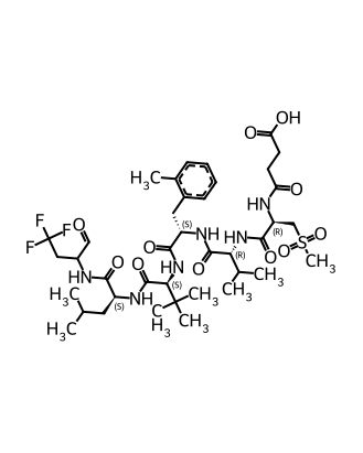 Cc1ccccc1C[C@H](NC(=O)[C@H](NC(=O)[C@H](CS(C)(=O)=O)NC(=O)CCC(=O)O)C(C)C)C(=O)N[C@H](C(=O)N[C@@H](CC(C)C)C(=O)NC(C=O)CC(F)(F)F)C(C)(C)C